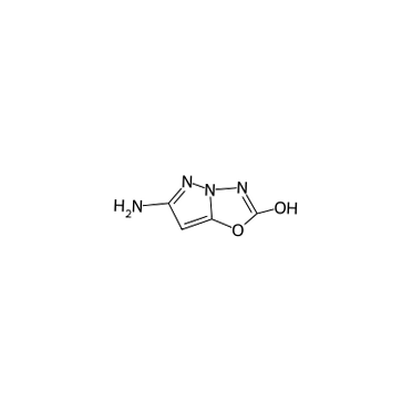 Nc1cc2oc(O)nn2n1